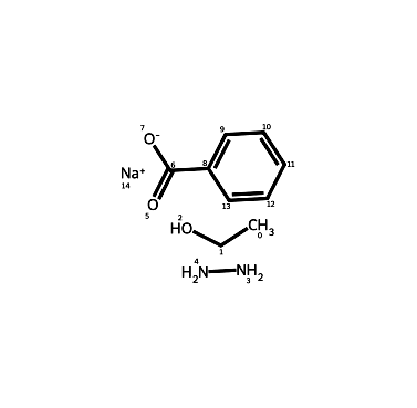 CCO.NN.O=C([O-])c1ccccc1.[Na+]